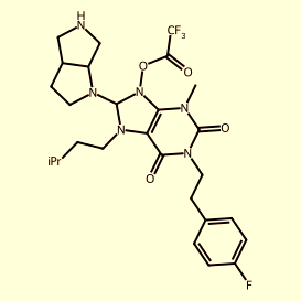 CC(C)CCN1c2c(n(C)c(=O)n(CCc3ccc(F)cc3)c2=O)N(OC(=O)C(F)(F)F)C1N1CCC2CNCC21